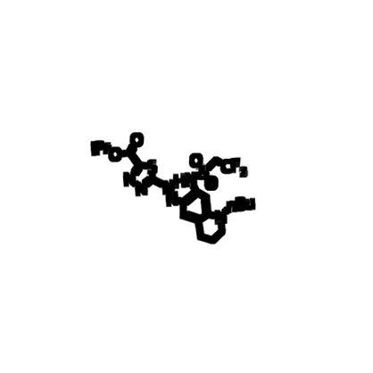 CCCCN1CCCc2cc(N=Nc3nnc(C(=O)OC(C)C)s3)c(NS(=O)(=O)CC(F)(F)F)cc21